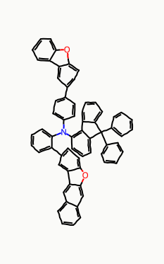 c1ccc(C2(c3ccccc3)c3ccccc3-c3c(N(c4ccc(-c5ccc6oc7ccccc7c6c5)cc4)c4ccccc4-c4ccc5oc6cc7ccccc7cc6c5c4)cccc32)cc1